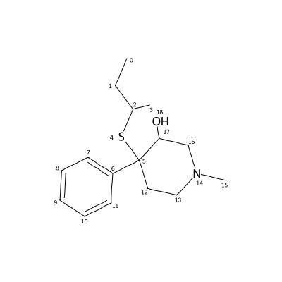 CCC(C)SC1(c2ccccc2)CCN(C)CC1O